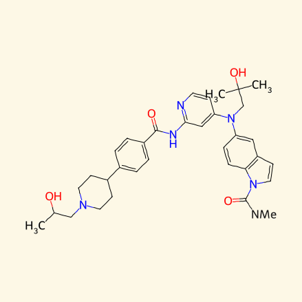 CNC(=O)n1ccc2cc(N(CC(C)(C)O)c3ccnc(NC(=O)c4ccc(C5CCN(CC(C)O)CC5)cc4)c3)ccc21